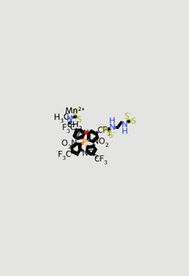 CN(C)C(=S)[S-].O=[N+]([O-])c1cc(C(F)(F)F)ccc1[P+](c1ccc(C(F)(F)F)cc1[N+](=O)[O-])(c1ccc(C(F)(F)F)cc1[N+](=O)[O-])c1ccc(C(F)(F)F)cc1[N+](=O)[O-].S=C([S-])NCCNC(=S)[S-].[Mn+2]